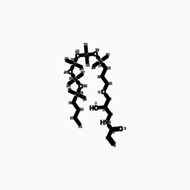 C=CC(=O)NCC(O)COCCC[Si](C)(C)O[Si](C)(C)O[Si](C)(C)O[Si](C)(C)O[Si](C)(C)CCCC